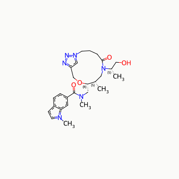 C[C@H]1CN([C@@H](C)CO)C(=O)CCCn2cc(nn2)CO[C@H]1CN(C)C(=O)c1ccc2ccn(C)c2c1